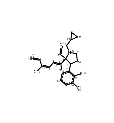 C/C(=C\C=C(\Cl)C=N)C1(C=O)C(c2cccc(Cl)c2F)CCN1CC1CC1